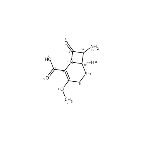 COC1=C(C(=O)O)N2C(=O)C(N)[C@H]2SC1